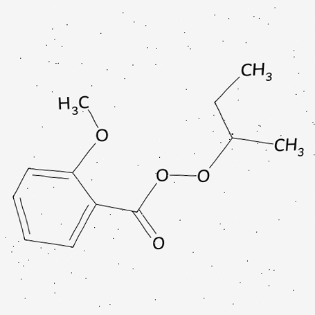 CC[C](C)OOC(=O)c1ccccc1OC